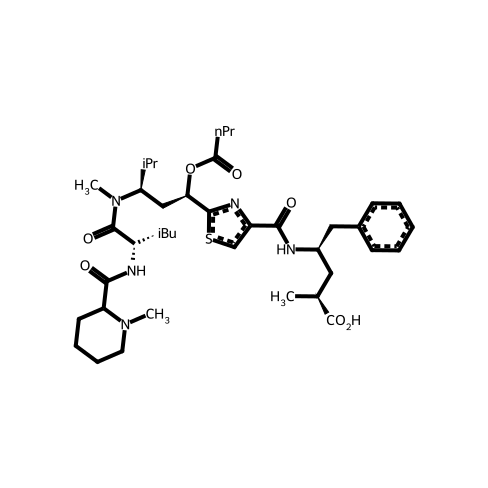 CCCC(=O)O[C@H](C[C@H](C(C)C)N(C)C(=O)[C@@H](NC(=O)C1CCCCN1C)[C@@H](C)CC)c1nc(C(=O)N[C@@H](Cc2ccccc2)C[C@H](C)C(=O)O)cs1